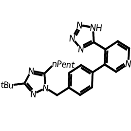 CCCCCc1nc(C(C)(C)C)nn1Cc1ccc(-c2cnccc2-c2nnn[nH]2)cc1